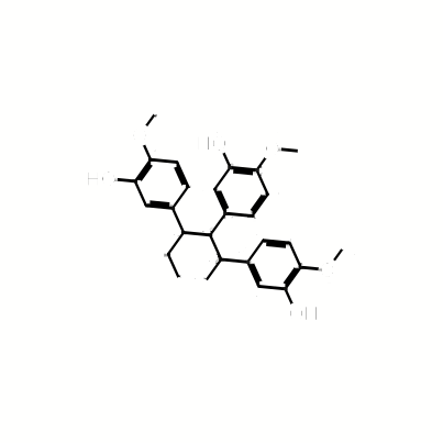 CCC(c1ccc(OC)c(O)c1)C(c1ccc(OC)c(O)c1)C(C)c1ccc(OC)c(O)c1